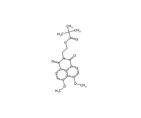 COc1ccc2c3c(ccc(OC)c13)C(=O)N(CCOC(=O)C(C)(C)C)C2=O